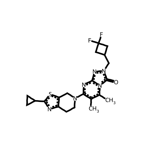 Cc1c(N2CCc3nc(C4CC4)sc3C2)nc2nn(CC3CC(F)(F)C3)c(=O)n2c1C